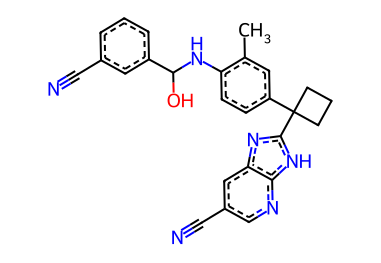 Cc1cc(C2(c3nc4cc(C#N)cnc4[nH]3)CCC2)ccc1NC(O)c1cccc(C#N)c1